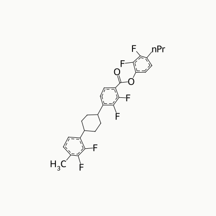 CCCc1ccc(OC(=O)c2ccc(C3CCC(c4ccc(C)c(F)c4F)CC3)c(F)c2F)c(F)c1F